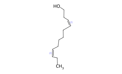 CC/C=C\CCCC/C=C\CCO